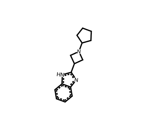 c1ccc2[nH]c(C3CN(C4CCCC4)C3)nc2c1